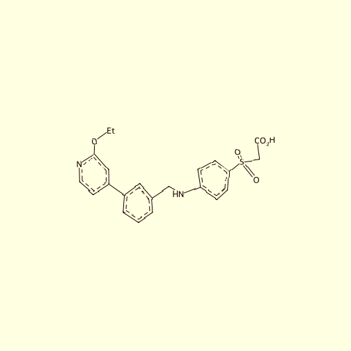 CCOc1cc(-c2cccc(CNc3ccc(S(=O)(=O)CC(=O)O)cc3)c2)ccn1